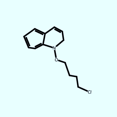 ClCCCCON1CC=Cc2ccccc21